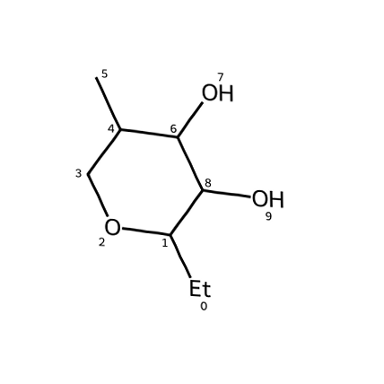 CCC1OCC(C)C(O)C1O